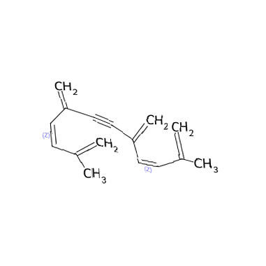 C=C(C)/C=C\C(=C)C#CC(=C)/C=C\C(=C)C